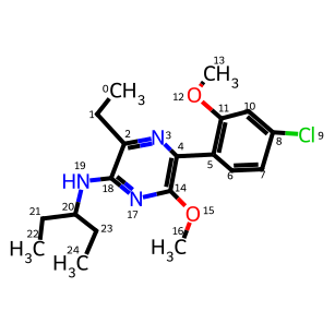 CCc1nc(-c2ccc(Cl)cc2OC)c(OC)nc1NC(CC)CC